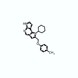 Cc1ccc(OCc2cc3cnc4[nH]ccc4c3n2C2CCCCC2)cc1